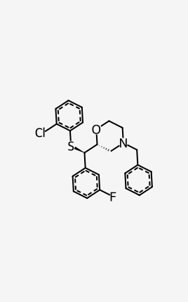 Fc1cccc([C@@H](Sc2ccccc2Cl)[C@H]2CN(Cc3ccccc3)CCO2)c1